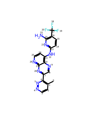 Cc1ccnnc1-c1cnc2c(Nc3ccc(C(F)(F)F)c(N)n3)ccnc2n1